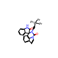 CC(C)[Si](C#CN1C(=O)n2ccc3cccc(c32)C12C(=O)Nc1ccccc12)(C(C)C)C(C)C